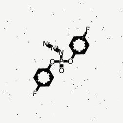 [N-]=[N+]=NP(=O)(Oc1ccc(F)cc1)Oc1ccc(F)cc1